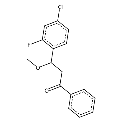 COC(CC(=O)c1ccccc1)c1ccc(Cl)cc1F